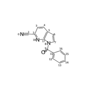 N#Cc1ccc2ccn(C(=O)c3ccccc3)c2n1